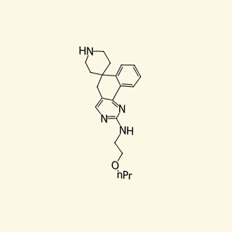 CCCOCCNc1ncc2c(n1)-c1ccccc1C1(CCNCC1)C2